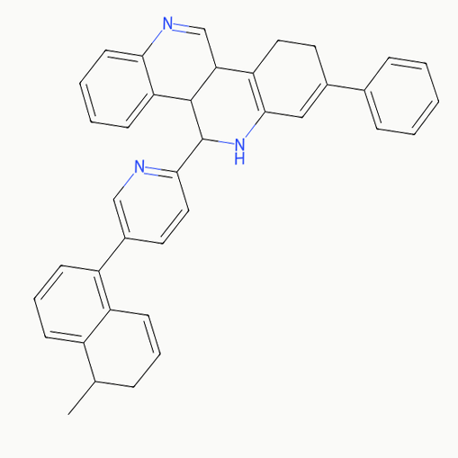 CC1CC=Cc2c(-c3ccc(C4NC5=C(CCC(c6ccccc6)=C5)C5C=Nc6ccccc6C54)nc3)cccc21